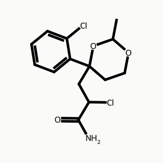 CC1OCCC(CC(Cl)C(N)=O)(c2ccccc2Cl)O1